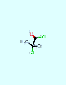 CCC(C)(Cl)C(=O)Cl